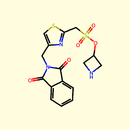 O=C1c2ccccc2C(=O)N1Cc1csc(CS(=O)(=O)OC2CNC2)n1